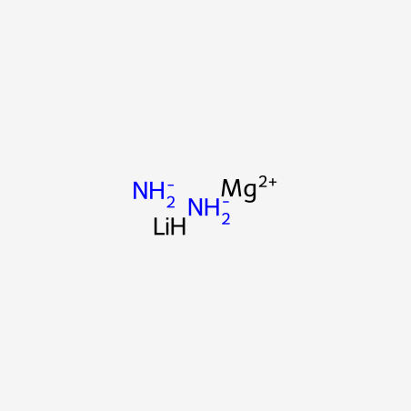 [LiH].[Mg+2].[NH2-].[NH2-]